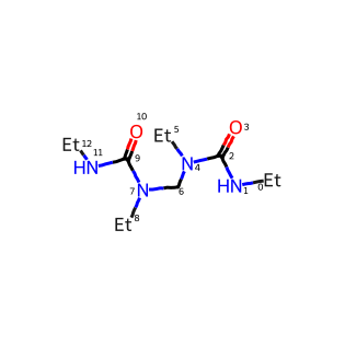 CCNC(=O)N(CC)CN(CC)C(=O)NCC